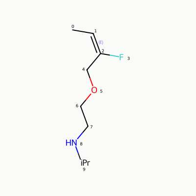 C/C=C(/F)COCCNC(C)C